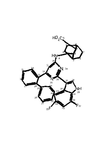 O=C(O)C1C2CCC(CC2)C1Nc1cc(-c2ccccc2-c2ccccc2)nc(-c2c[nH]c3c(F)cc(F)cc23)n1